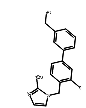 CC(C)Cc1cccc(-c2ccc(Cn3ccnc3C(C)(C)C)c(F)c2)c1